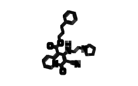 N#Cc1c(NCCN2CCCC2)c(C(=O)OCCCc2ccccc2)c2ccccn2c1=O